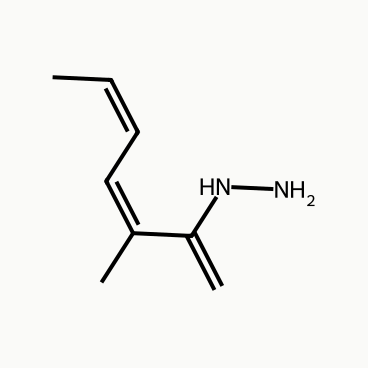 C=C(NN)/C(C)=C\C=C/C